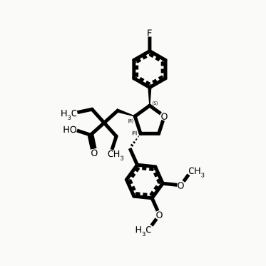 CCC(CC)(C[C@@H]1[C@@H](Cc2ccc(OC)c(OC)c2)CO[C@@H]1c1ccc(F)cc1)C(=O)O